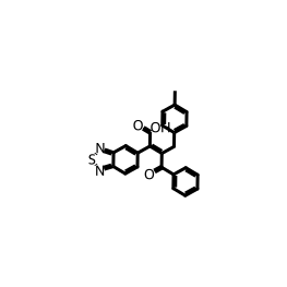 Cc1ccc(CC(C(=O)c2ccccc2)=C(C(=O)O)c2ccc3nsnc3c2)cc1